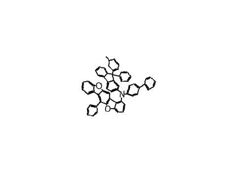 CC1C=CC=C(C2(c3ccccc3)c3ccccc3-c3ccc(N(c4ccc(-c5ccccc5)cc4)c4cccc5oc6c(-c7ccccc7)c7c(cc6c45)oc4ccccc47)cc32)C1